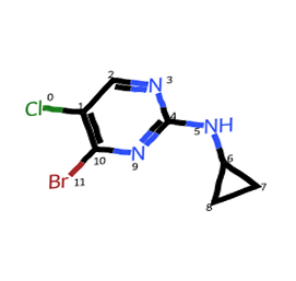 Clc1cnc(NC2CC2)nc1Br